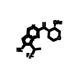 CC(=O)O[C@@H]1COCC[C@H]1Nc1ncc2cc(C#N)c(C(C)C(F)(F)F)n2n1